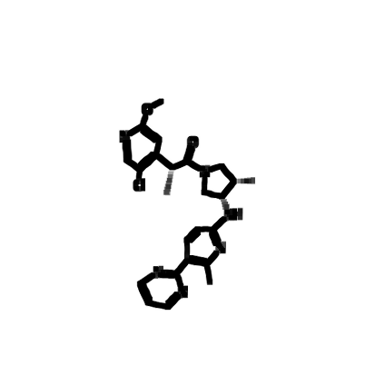 COc1cc([C@@H](C)C(=O)N2C[C@H](C)[C@H](Nc3ccc(-c4ncccn4)c(C)n3)C2)c(Cl)cn1